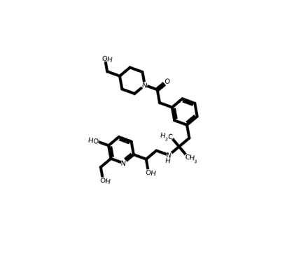 CC(C)(Cc1cccc(CC(=O)N2CCC(CO)CC2)c1)NCC(O)c1ccc(O)c(CO)n1